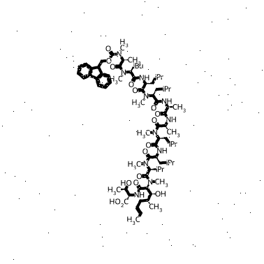 C/C=C/C[C@@H](C)[C@@H](O)[C@@H](C(=O)N[C@H](C(=O)O)[C@@H](C)O)N(C)C(=O)[C@H](C(C)C)N(C)C(=O)[C@H](CC(C)C)NC(=O)[C@H](CC(C)C)N(C)C(=O)[C@@H](C)NC(=O)[C@H](C)NC(=O)[C@H](CC(C)C)N(C)C(=O)[C@H](CC(C)C)NC(=O)[C@H](C(C)CC)N(C)C(=O)[C@@H](C)N(C)C(=O)OCC1c2ccccc2-c2ccccc21